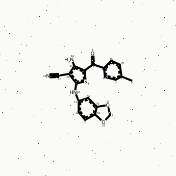 Cc1ccc(C(=O)c2sc(Nc3ccc4c(c3)OCO4)c(C#N)c2N)cc1